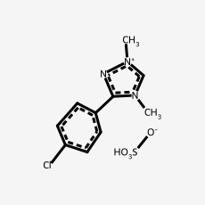 Cn1c[n+](C)nc1-c1ccc(Cl)cc1.O=S(=O)([O-])O